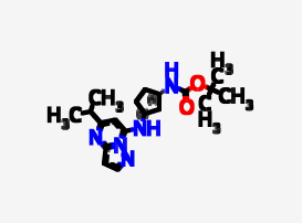 CC(C)c1cc(N[C@H]2CC[C@H](NC(=O)OC(C)(C)C)C2)n2nccc2n1